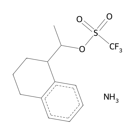 CC(OS(=O)(=O)C(F)(F)F)C1CCCc2ccccc21.N